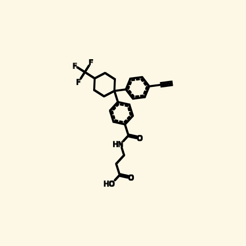 C#Cc1ccc(C2(c3ccc(C(=O)NCCC(=O)O)cc3)CCC(C(F)(F)F)CC2)cc1